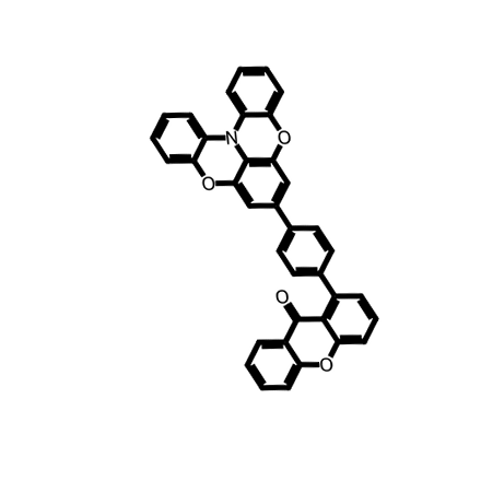 O=c1c2ccccc2oc2cccc(-c3ccc(-c4cc5c6c(c4)Oc4ccccc4N6c4ccccc4O5)cc3)c12